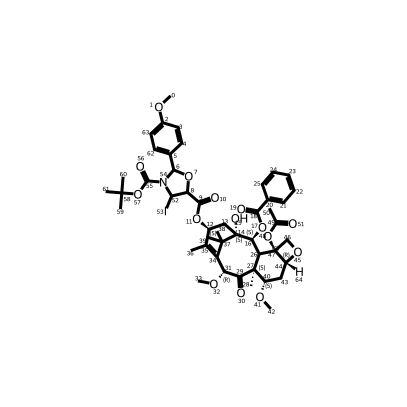 COc1ccc(C2OC(C(=O)O[C@H]3C[C@@]4(O)[C@@H](OC(=O)c5ccccc5)C5[C@](C)(C(=O)[C@H](OC)C(=C3C)C4(C)C)[C@@H](OC)C[C@H]3OC[C@@]53OC(C)=O)C(I)N2C(=O)OC(C)(C)C)cc1